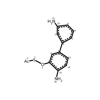 CC(=O)SOc1cc(-c2cccc(N)c2)ccc1N